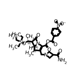 CC[Si](CC)(CC)O[C@H](C)C1C(=O)N2C(C(=O)OC(=O)c3ccc([N+](=O)[O-])cc3)=C(CN3CC(C(N)=O)C3)[C@H](C)[C@H]12